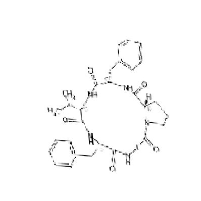 CC(C)[C@@H]1NC(=O)[C@H](Cc2ccccc2)NC(=O)[C@@H]2CCCN2C(=O)CNC(=O)[C@H](Cc2ccccc2)NC1=O